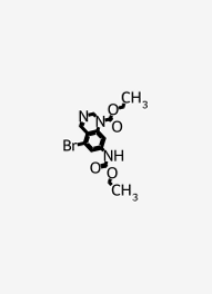 CCOC(=O)Nc1cc(Br)c2c(c1)N(C(=O)OCC)CN=C2